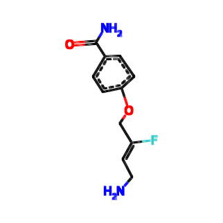 NCC=C(F)COc1ccc(C(N)=O)cc1